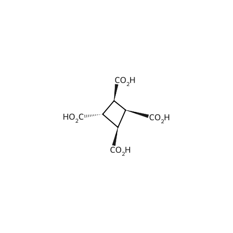 O=C(O)[C@H]1[C@H](C(=O)O)[C@@H](C(=O)O)[C@H]1C(=O)O